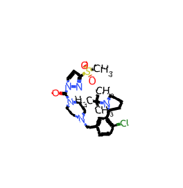 CC(C)(C)N1CCCC1c1cc(CN2CCN(C(=O)n3ccc(S(C)(=O)=O)n3)CC2)ccc1Cl